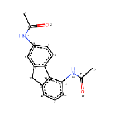 CC(=O)Nc1ccc2c(c1)Cc1cccc(NC(C)=O)c1-2